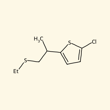 CCSCC(C)c1ccc(Cl)s1